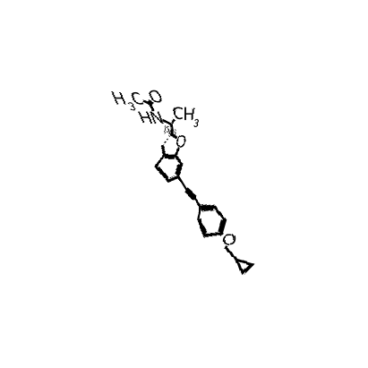 CC(=O)N[C@@H](C)[C@H]1Cc2ccc(C#Cc3ccc(OCC4CC4)cc3)cc2O1